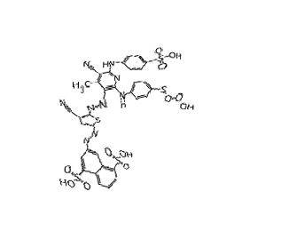 Cc1c(C#N)c(Nc2ccc(S(=O)(=O)O)cc2)nc(Nc2ccc(SOOO)cc2)c1N=Nc1sc(N=Nc2cc(S(=O)(=O)O)c3cccc(S(=O)(=O)O)c3c2)cc1C#N